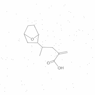 C=C(CC(C)C1CC2CCC1O2)C(=O)O